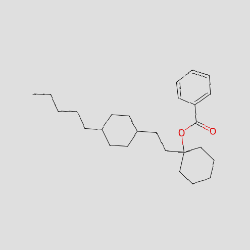 CCCCCC1CCC(CCC2(OC(=O)c3ccccc3)CCCCC2)CC1